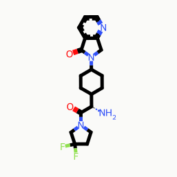 N[C@H](C(=O)N1CCC(F)(F)C1)C1CCC(N2Cc3ncccc3C2=O)CC1